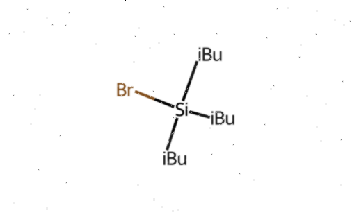 CCC(C)[Si](Br)(C(C)CC)C(C)CC